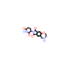 O=C1CCC(N2C(=O)c3cc4c(cc3C2=O)OCCNC4)C(=O)N1